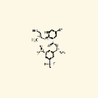 C[C@H](CO)/N=c1\[nH]cc(Br)cc1C(=O)N[C@H](C)c1cc([N+](=O)[O-])cc(C(F)(F)F)c1